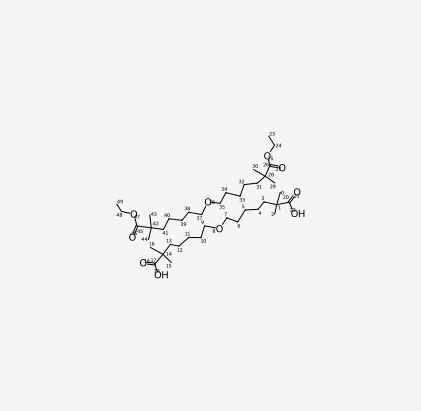 CC(C)(CCCCCOCCCCCC(C)(C)C(=O)O)C(=O)O.CCOC(=O)C(C)(C)CCCCCOCCCCCC(C)(C)C(=O)OCC